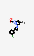 Cc1cc(N2CC[C@@H](c3cccc(Cl)c3)C2)n2nc(C(=O)O)nc2c1